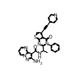 CC(NC(=O)c1c(N)nn2cccnc12)c1nc2scc(C#Cc3ccncc3)c2c(=O)n1-c1ccccc1